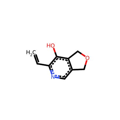 C=Cc1ncc2c(c1O)COC2